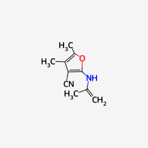 C=C(C)Nc1oc(C)c(C)c1C#N